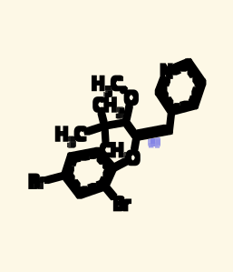 COC(/C(=C\c1cccnc1)Oc1ccc(Br)cc1Br)C(C)(C)C